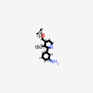 C[SiH](C)OCc1ccnc(-c2cccc(N)c2)c1C(C)(C)C